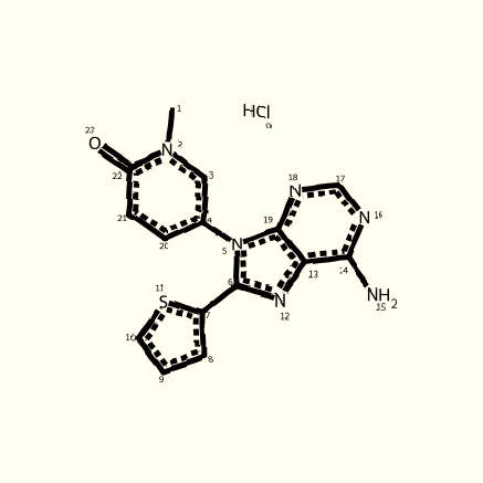 Cl.Cn1cc(-n2c(-c3cccs3)nc3c(N)ncnc32)ccc1=O